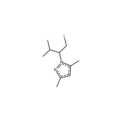 Cc1cc(C)n(C(CI)C(C)C)n1